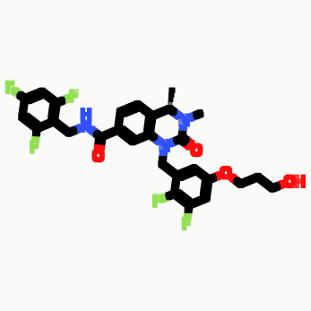 C[C@H]1c2ccc(C(=O)NCc3c(F)cc(F)cc3F)cc2N(Cc2cc(OCCCO)cc(F)c2F)C(=O)N1C